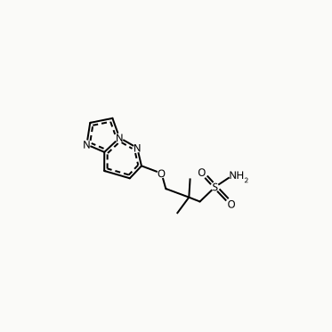 CC(C)(COc1ccc2nccn2n1)CS(N)(=O)=O